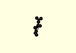 CC1(C)c2ccccc2-c2ccc(-c3cccc4c3oc3c5ccccc5c(-c5ccc(N(c6ccccc6)c6ccccc6)cc5)cc43)cc21